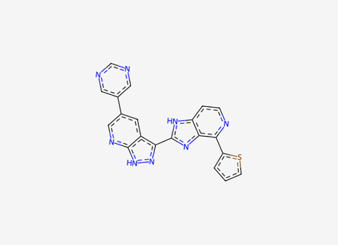 c1csc(-c2nccc3[nH]c(-c4n[nH]c5ncc(-c6cncnc6)cc45)nc23)c1